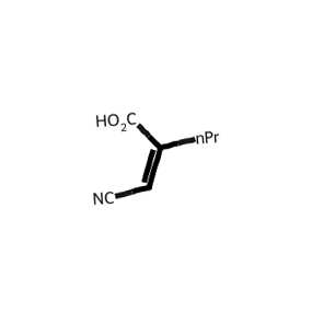 CCCC(=CC#N)C(=O)O